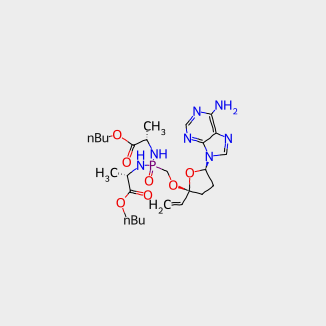 C=C[C@@]1(OCP(=O)(N[C@@H](C)C(=O)OCCCC)N[C@@H](C)C(=O)OCCCC)CC[C@H](n2cnc3c(N)ncnc32)O1